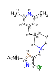 CC(=O)Nc1nc(Br)c(CN2CCC[C@H](Cc3cc(C)nc(C)c3)C2)s1